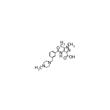 Cc1c(NC(=O)c2cccc(CN3CCN(C)CC3)c2)c(C(=O)O)nn1C